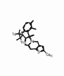 [2H]C1(C)C([2H])(C)C1([2H])C(=O)C(C)(c1c(F)ccc(C)c1C)N1Cc2cc(OC(C)=O)sc2CC1C